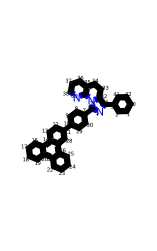 c1ccc(-c2nc(-c3ccc(-c4ccc5c6ccccc6c6ccccc6c5c4)cc3)n3c2ccc2cccnc23)cc1